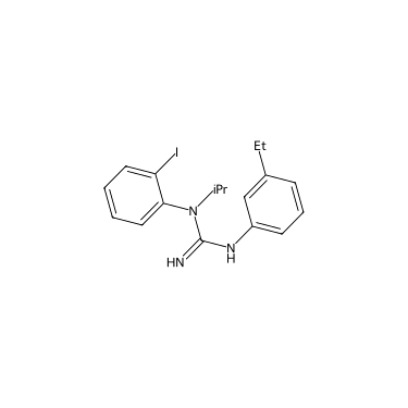 CCc1cccc(NC(=N)N(c2ccccc2I)C(C)C)c1